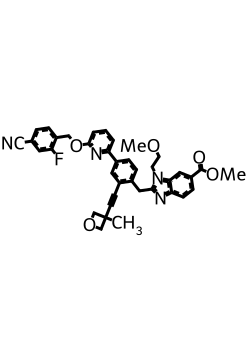 COCCn1c(Cc2ccc(-c3cccc(OCc4ccc(C#N)cc4F)n3)cc2C#CC2(C)COC2)nc2ccc(C(=O)OC)cc21